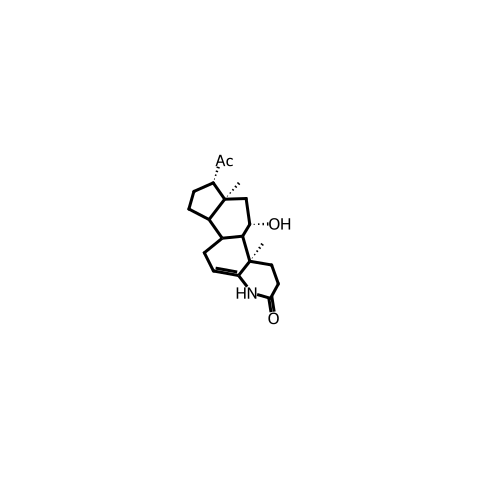 CC(=O)[C@H]1CCC2C3CC=C4NC(=O)CC[C@]4(C)C3[C@@H](O)C[C@@]21C